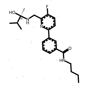 CCCCNC(=O)c1cccc(-c2ccc(F)c(CN[C@](C)(O)C(C)C)n2)c1